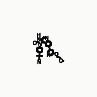 COCCOc1cncc(-c2ccc3ncc4[nH]c(=O)n(-c5ccc(C(C)(C)C#N)cc5)c4c3c2)c1